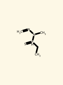 C=NN(C)[PH](=S)CC